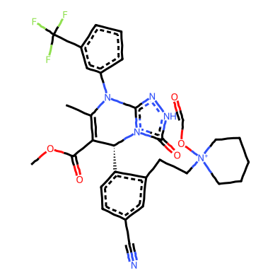 COC(=O)C1=C(C)N(c2cccc(C(F)(F)F)c2)c2n[nH]c(=O)n2[C@@H]1c1ccc(C#N)cc1CC[N+]1(OC=O)CCCCC1